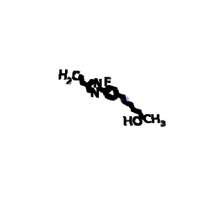 C=CCc1cnc(-c2ccc(/C=C/CCCC(C)O)cc2F)nc1